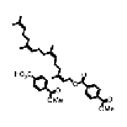 COC(=O)c1ccc(C(=O)O)cc1.COC(=O)c1ccc(C(=O)OCC=C(C)CCC=C(C)CCC=C(C)CCC=C(C)C)cc1